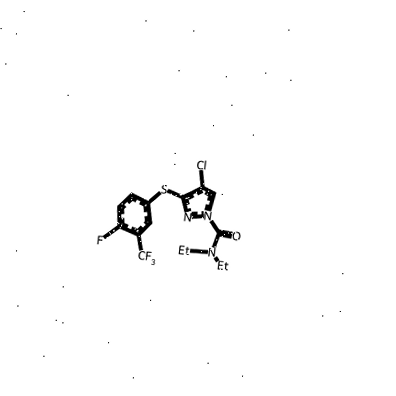 CCN(CC)C(=O)n1cc(Cl)c(Sc2ccc(F)c(C(F)(F)F)c2)n1